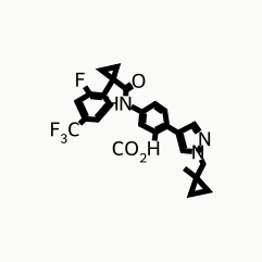 CC1(Cn2cc(-c3ccc(NC(=O)C4(c5ccc(C(F)(F)F)cc5F)CC4)cc3C(=O)O)cn2)CC1